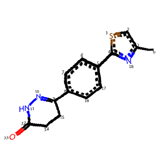 Cc1csc(-c2ccc(C3=NNC(=O)CC3)cc2)n1